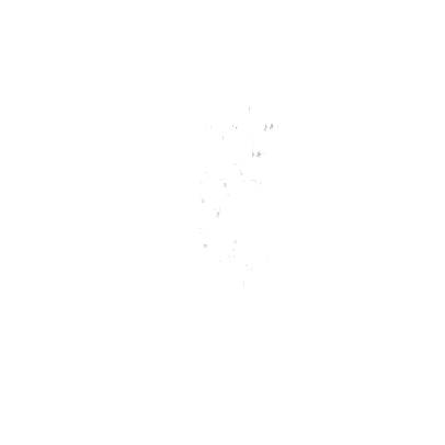 CCN(CC)c1ccc2sc3ccc([C@]4(C)CC(=O)N(C)C(=N)N4)cc3c2c1